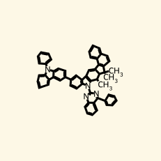 CC1c2c(c3cc(-c4ccc5c(c4)c4ccccc4n5-c4ccccc4)ccc3n2-c2nc(-c3ccccc3)c3ccccc3n2)C=C2c3c(ccc4ccccc34)C(C)(C)C21